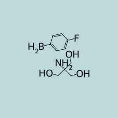 Bc1ccc(F)cc1.NC(CO)(CO)CO